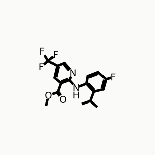 COC(=O)c1cc(C(F)(F)F)cnc1Nc1ccc(F)cc1C(C)C